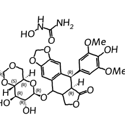 COc1cc([C@@H]2c3cc4c(cc3C(O[C@@H]3O[C@@H]5CO[C@@H](C)O[C@H]5[C@H](O)[C@H]3O)C3COC(=O)[C@@H]32)OCO4)cc(OC)c1O.NC(=O)NO